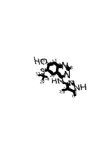 Cc1[nH]nc(Nc2ncnc3cc(O)c(SC(C)(C)C)cc23)c1C